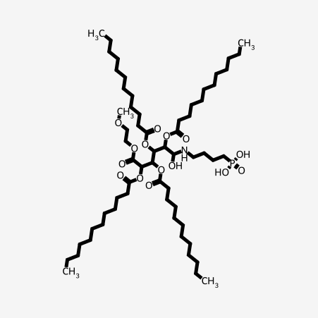 CCCCCCCCCCCC(=O)OC(C(=O)OCCOC)C(OC(=O)CCCCCCCCCCC)C(OC(=O)CCCCCCCCCCC)C(OC(=O)CCCCCCCCCCC)C(O)NCCCCP(=O)(O)O